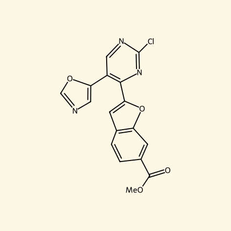 COC(=O)c1ccc2cc(-c3nc(Cl)ncc3-c3cnco3)oc2c1